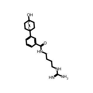 N=C(N)NCCC[CH]NC(=O)c1cccc(C23CCC(O)(CC2)CC3)c1